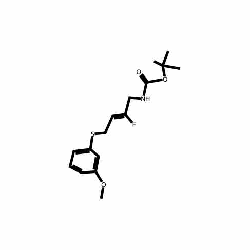 COc1cccc(SCC=C(F)CNC(=O)OC(C)(C)C)c1